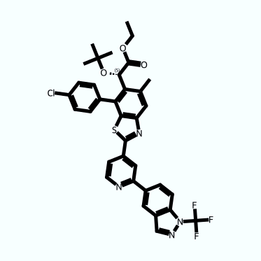 CCOC(=O)[C@@H](OC(C)(C)C)c1c(C)cc2nc(-c3ccnc(-c4ccc5c(cnn5C(F)(F)F)c4)c3)sc2c1-c1ccc(Cl)cc1